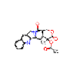 CCC(=O)O[C@]1(CC)C(=O)OCc2c1cc1n(c2=O)Cc2cc3ccccc3nc2-1